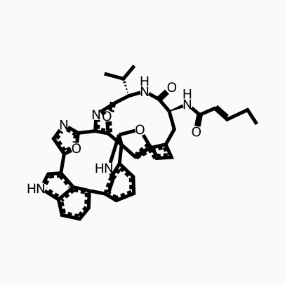 CC/C=C/C(=O)N[C@H]1Cc2ccc3c(c2)C24c5cccc(c5NC2O3)-c2cccc3[nH]cc(c23)-c2cnc(o2)-c2nc(oc24)[C@H](C(C)C)NC1=O